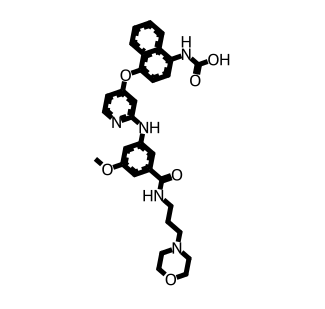 COc1cc(Nc2cc(Oc3ccc(NC(=O)O)c4ccccc34)ccn2)cc(C(=O)NCCCN2CCOCC2)c1